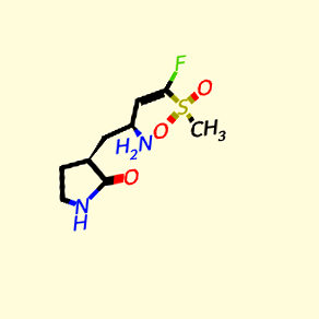 CS(=O)(=O)/C(F)=C\[C@@H](N)C[C@@H]1CCNC1=O